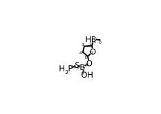 CBC1CCC(OB(O)SP)O1